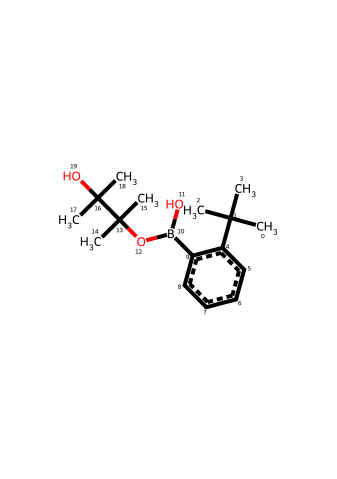 CC(C)(C)c1ccccc1B(O)OC(C)(C)C(C)(C)O